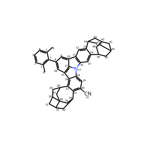 Cc1cccc(C)c1-c1cc2c3cc4c(cc3n3c5cc(C#N)c6c(c5c(c1)c23)C1CC2CC3CC6CC32C1)C1CC2CC(CC4C2)C1